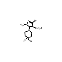 CCOC(=O)c1c(Br)nn(C)c1N1CCC(C)(C#N)CC1